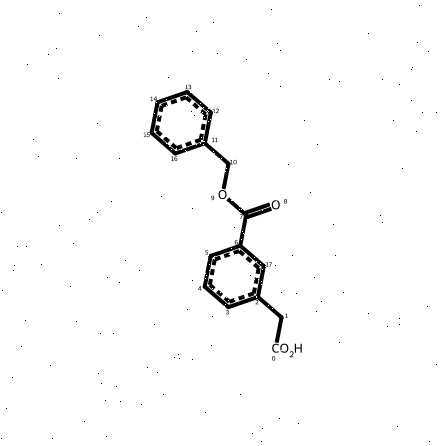 O=C(O)Cc1cccc(C(=O)OCc2ccccc2)c1